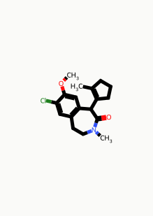 COc1cc2c(cc1Cl)CCN(C)C(=O)C2C1=C(C)CCC1